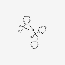 O=S(=O)(c1cccnc1C#CC(O)(Cc1ccccc1)c1ccccc1)C(F)(F)F